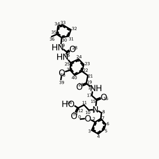 COc1ccccc1CN(CCC(=O)O)C(=O)CNC(=O)Cc1ccc(NC(=O)Nc2ccccc2C)c(OC)c1